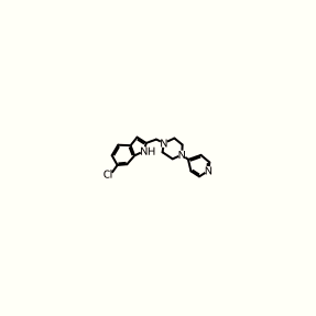 Clc1ccc2cc(CN3CCN(c4ccncc4)CC3)[nH]c2c1